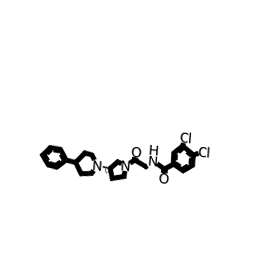 O=C(NCC(=O)N1CC[C@H](N2CCC(c3ccccc3)CC2)C1)c1ccc(Cl)c(Cl)c1